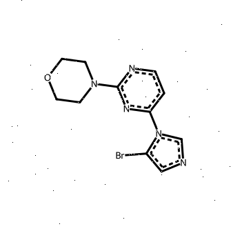 Brc1cncn1-c1ccnc(N2CCOCC2)n1